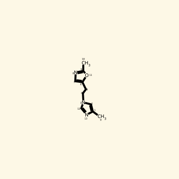 Cc1cn(CCc2cnc(C)o2)cn1